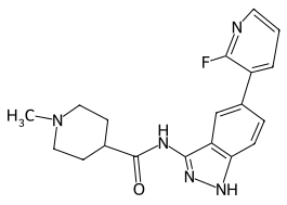 CN1CCC(C(=O)Nc2n[nH]c3ccc(-c4cccnc4F)cc23)CC1